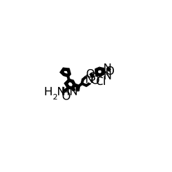 NC(=O)c1cc(-c2ccccc2)cc2c(C3CCN(S(=O)(=O)c4ccc5nonc5c4Cl)CC3)c[nH]c12